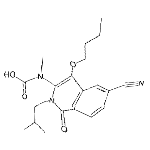 CCCCOc1c(N(C)C(=O)O)n(CC(C)C)c(=O)c2ccc(C#N)cc12